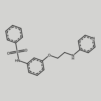 O=S(=O)(Nc1cccc(OCCNc2ccncc2)c1)c1ccccc1